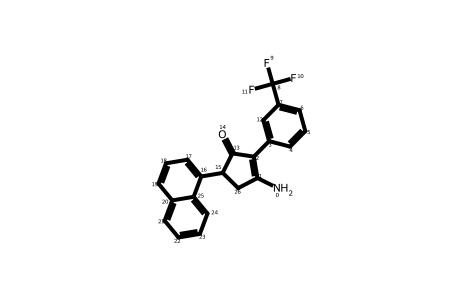 NC1=C(c2cccc(C(F)(F)F)c2)C(=O)C(c2cccc3ccccc23)C1